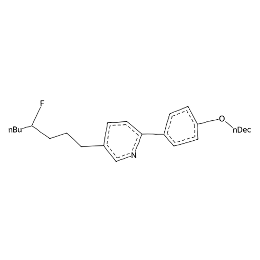 CCCCCCCCCCOc1ccc(-c2ccc(CCCC(F)CCCC)cn2)cc1